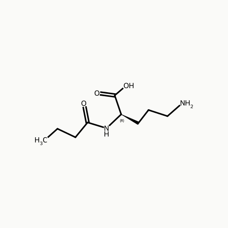 CCCC(=O)N[C@H](CCCN)C(=O)O